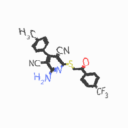 Cc1ccc(-c2c(C#N)c(N)nc(SCC(=O)c3ccc(C(F)(F)F)cc3)c2C#N)cc1